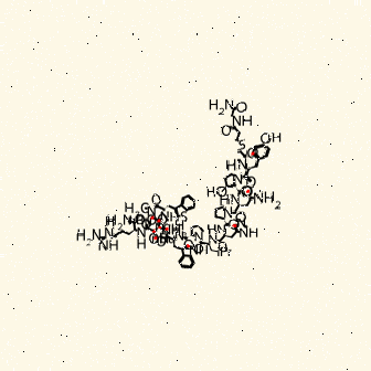 CCCC[C@@H](C(=O)N(C)[C@@H](CCCC)C(=O)N[C@@H](CCCNC(=N)N)C(N)=O)N(C)C(=O)[C@H](Cc1csc2ccccc12)NC(=O)[C@H](CO)NC(=O)[C@H](Cc1c[nH]c2ccccc12)NC(=O)[C@@H]1CCCN1C(=O)[C@H](CC(C)C)NC(=O)[C@H](Cc1cnc[nH]1)NC(=O)[C@@H]1CCCN1C(=O)[C@H](CC(N)=O)NC(=O)[C@@H]1[C@@H](O)CCN1C(=O)[C@H](Cc1ccc(O)cc1)NC(=O)CSCCC(=O)NCC(N)=O